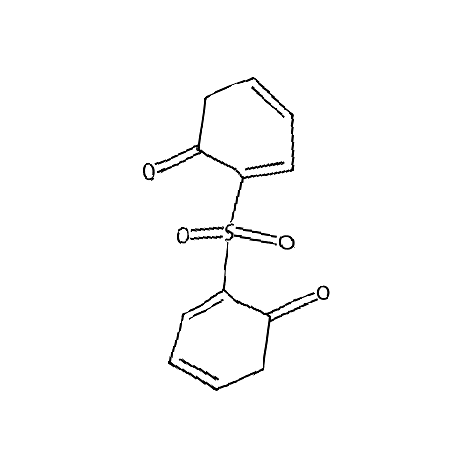 O=C1CC=CC=C1S(=O)(=O)C1=CC=CCC1=O